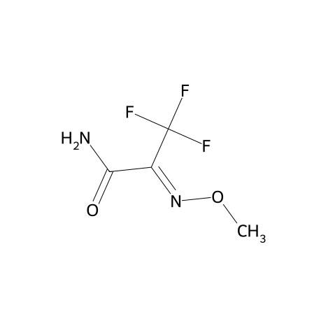 CO/N=C(/C(N)=O)C(F)(F)F